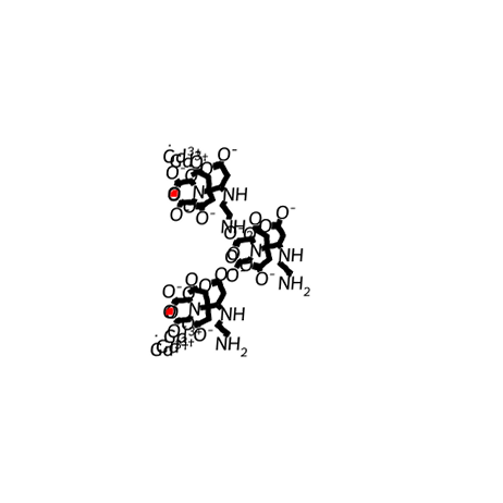 NCCNC(CC(=O)[O-])C(CC(=O)[O-])(CC(=O)[O-])N(CC(=O)[O-])CC(=O)[O-].NCCNC(CC(=O)[O-])C(CC(=O)[O-])(CC(=O)[O-])N(CC(=O)[O-])CC(=O)[O-].NCCNC(CC(=O)[O-])C(CC(=O)[O-])(CC(=O)[O-])N(CC(=O)[O-])CC(=O)[O-].[Gd+3].[Gd+3].[Gd+3].[Gd+3].[Gd+3]